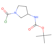 CC(C)(C)OC(=O)NC1CCN(C(=O)Cl)C1